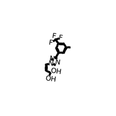 Cc1cc(-c2ncn(/C=C\C(O)O)n2)cc(C(F)(F)F)c1